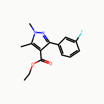 CCOC(=O)c1c(-c2cccc(F)c2)nn(C)c1C